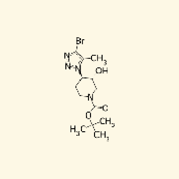 Cc1c(Br)nnn1[C@@H]1CCN(C(=O)OC(C)(C)C)C[C@H]1O